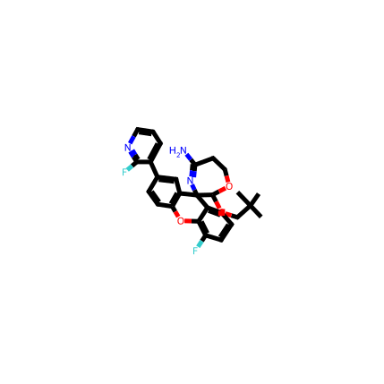 CC(C)(C)COC1OCCC(N)=NC12c1cc(-c3cccnc3F)ccc1Oc1c(F)cccc12